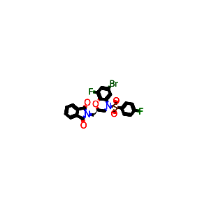 O=C1c2ccccc2C(=O)N1C[C@H]1CN(S(=O)(=O)c2ccc(F)cc2)c2cc(Br)cc(F)c2O1